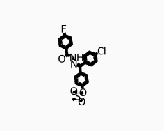 CS(=O)(=O)Oc1ccc(C(=NNC(=O)c2ccc(F)cc2)c2ccc(Cl)cc2)cc1